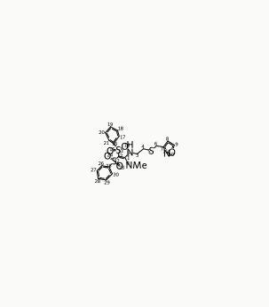 CNC(NCCSCc1ccon1)=C(S(=O)(=O)c1ccccc1)S(=O)(=O)c1ccccc1